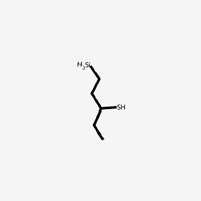 CCC(S)CC[SiH3]